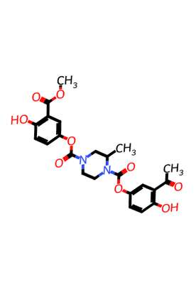 COC(=O)c1cc(OC(=O)N2CCN(C(=O)Oc3ccc(O)c(C(C)=O)c3)C(C)C2)ccc1O